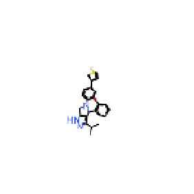 Cc1ccccc1C1c2c(C(C)C)n[nH]c2CN1c1ccc(-c2ccsc2)cc1